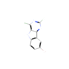 Clc1nc(Cl)c2[nH]c3ccc(Br)cc3c2n1